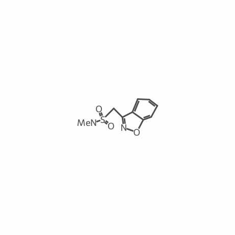 CNS(=O)(=O)Cc1noc2ccccc12